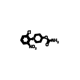 NC(=O)OC1CCN(c2c(Cl)cccc2[N+](=O)[O-])CC1